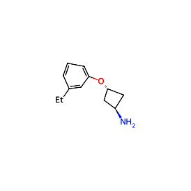 CCc1cccc(O[C@H]2C[C@H](N)C2)c1